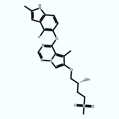 Cc1cc2c(F)c(Oc3ncnn4cc(OC[C@H](O)CCS(C)(=O)=O)c(C)c34)ccc2[nH]1